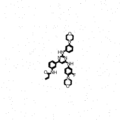 C=CC(=O)Nc1cccc(-c2cc(Nc3ccc(N4CCOCC4)c(F)c3)nc(Nc3cccc(N4CCOCC4)c3)n2)c1